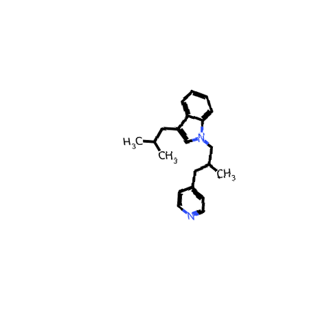 CC(C)Cc1cn(CC(C)Cc2ccncc2)c2ccccc12